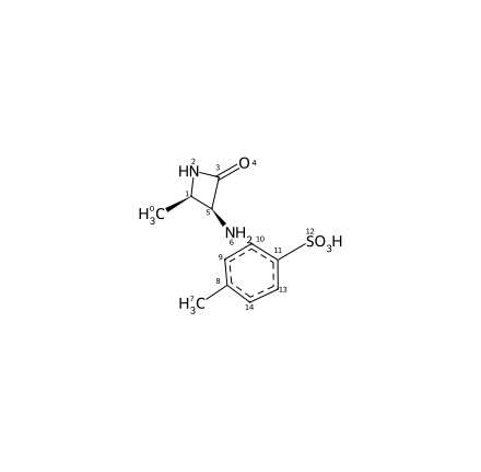 C[C@H]1NC(=O)[C@H]1N.Cc1ccc(S(=O)(=O)O)cc1